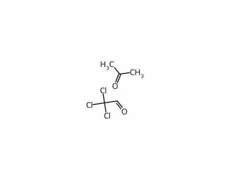 CC(C)=O.O=CC(Cl)(Cl)Cl